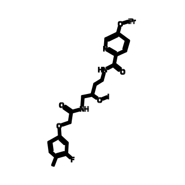 Cc1ccc(OCC(=O)NCC(CCNC(=O)c2ccc(OC(C)C)cn2)OI)cc1F